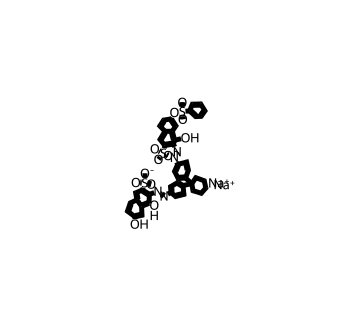 O=S(=O)([O-])c1cc2ccc(O)cc2c(O)c1N=Nc1ccc(C2(c3ccc(N=Nc4c(S(=O)(=O)[O-])cc5ccc(OS(=O)(=O)c6ccccc6)cc5c4O)cc3)CCCCC2)cc1.[Na+].[Na+]